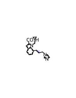 O=C(O)c1cc2cccc(/C=C/Cn3ccnc3)c2n1CC1CC1